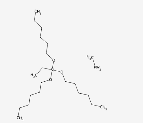 CCCCCCO[Si](CC)(OCCCCCC)OCCCCCC.CN